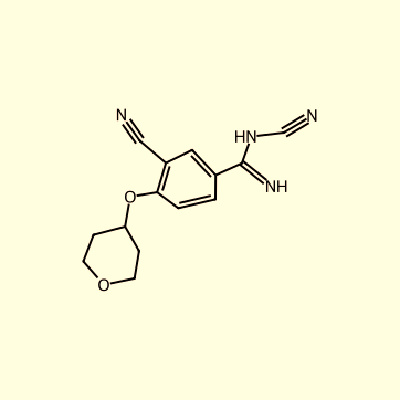 N#CNC(=N)c1ccc(OC2CCOCC2)c(C#N)c1